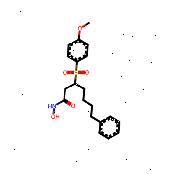 COc1ccc(S(=O)(=O)C(CCCCc2ccccc2)CC(=O)NO)cc1